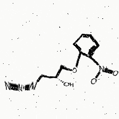 [N-]=[N+]=NC[C@@H](O)COc1ccccc1[N+](=O)[O-]